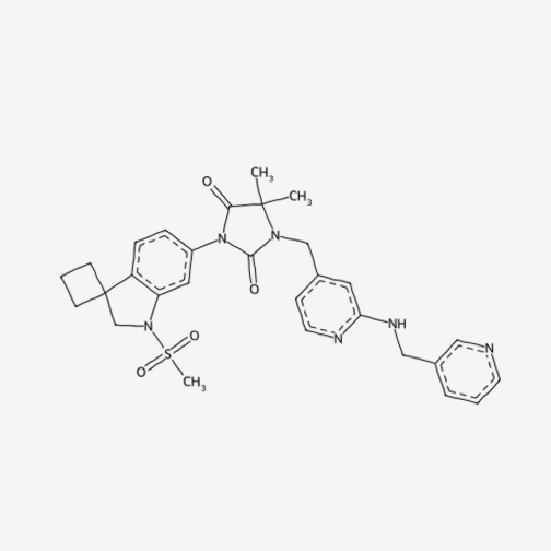 CC1(C)C(=O)N(c2ccc3c(c2)N(S(C)(=O)=O)CC32CCC2)C(=O)N1Cc1ccnc(NCc2cccnc2)c1